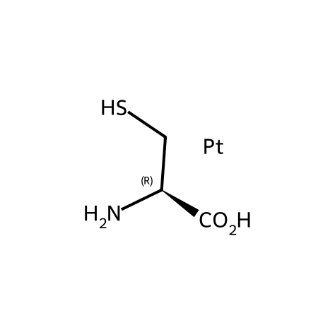 N[C@@H](CS)C(=O)O.[Pt]